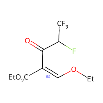 CCO/C=C(/C(=O)OCC)C(=O)C(F)C(F)(F)F